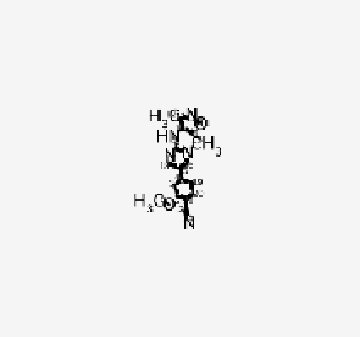 COc1cc(-c2cnc(Nc3c(C)noc3C)nc2)ccc1C#N